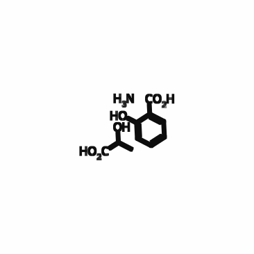 CC(O)C(=O)O.N.O=C(O)c1ccccc1O